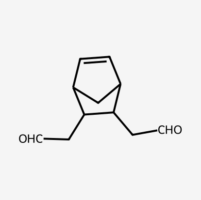 O=CCC1C2C=CC(C2)C1CC=O